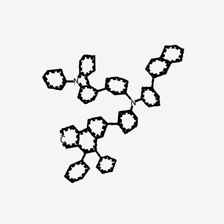 c1ccc(-c2c(-c3ccccc3)c3cc(-c4cccc(N(c5cccc(-c6ccc7ccccc7c6)c5)c5cccc(-c6cccc7c6c6ccccc6n7-c6ccccc6)c5)c4)ccc3c3ccccc23)cc1